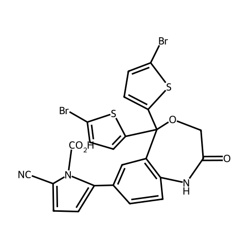 N#Cc1ccc(-c2ccc3c(c2)C(c2ccc(Br)s2)(c2ccc(Br)s2)OCC(=O)N3)n1C(=O)O